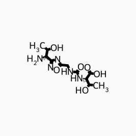 CC(O)[C@H](NC(=O)NCc1nc([C@@H](N)C(C)O)no1)C(=O)O